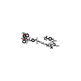 Cc1ncsc1-c1ccc([C@H](C)NC(=O)[C@@H]2C[C@@H](O)CN2C(=O)[C@@H](NC(=O)CCOCCOCCNC(=O)c2ccc(NC(=O)[C@@H]3NC4(CCCCC4)[C@@]4(C(=O)Nc5cc(Cl)ccc54)[C@H]3c3cccc(Cl)c3F)cc2)C(C)(C)C)cc1